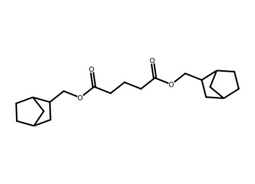 O=C(CCCC(=O)OCC1CC2CCC1C2)OCC1CC2CCC1C2